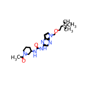 CC(=O)N1CCCC(NC(=O)Nc2cnc3c(ccn3COCC[Si](C)(C)C)n2)C1